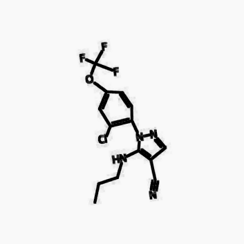 CCCNc1c(C#N)cnn1-c1ccc(OC(F)(F)F)cc1Cl